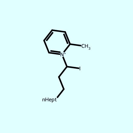 CCCCCCCCCC(I)[n+]1ccccc1C